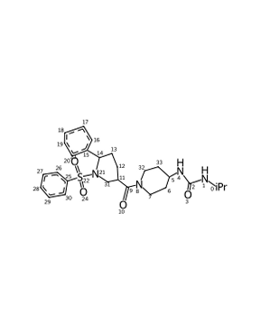 CC(C)NC(=O)NC1CCN(C(=O)C2CCC(c3ccccc3)N(S(=O)(=O)c3ccccc3)C2)CC1